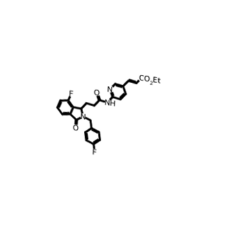 CCOC(=O)/C=C/c1ccc(NC(=O)CCC2c3c(F)cccc3C(=O)N2Cc2ccc(F)cc2)nc1